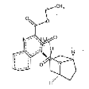 CCOC(=O)c1nc2ccccc2n([C@H]2C[C@H]3CC[C@@H](C2)N3C(=O)OC)c1=O